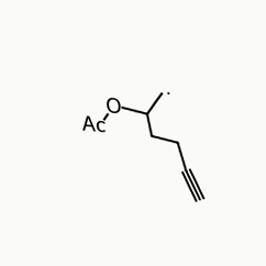 C#CCCC([CH2])OC(C)=O